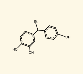 CCC(c1ccc(O)cc1)c1ccc(O)c(O)c1